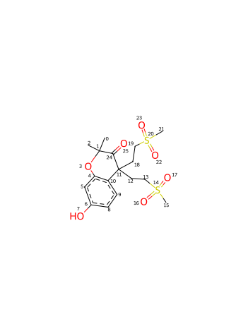 CC1(C)Oc2cc(O)ccc2C(CCS(C)(=O)=O)(CCS(C)(=O)=O)C1=O